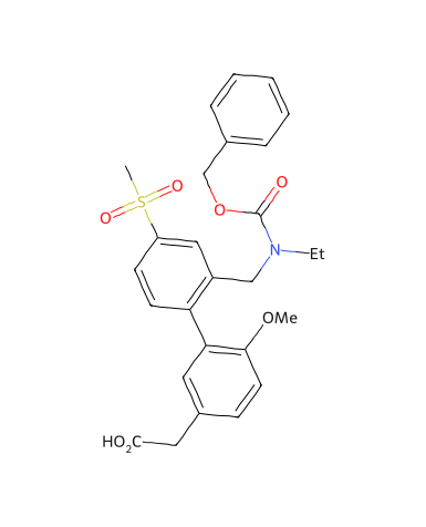 CCN(Cc1cc(S(C)(=O)=O)ccc1-c1cc(CC(=O)O)ccc1OC)C(=O)OCc1ccccc1